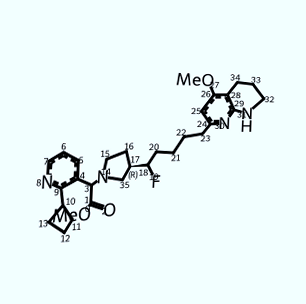 COC(=O)C(c1cccnc1C1CCC1)N1CC[C@@H](C(F)CCCCc2cc(OC)c3c(n2)NCCC3)C1